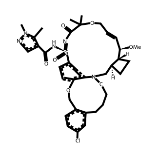 CO[C@@H]1/C=C/COC(C)(C)C(=O)N=[S@](=O)(NC(=O)c2cnn(C)c2C)c2ccc3c(c2)N(CCCCc2cc(Cl)ccc2CO3)C[C@@H]2CC[C@H]21